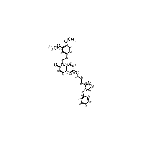 COc1ccc(CCn2c(=O)ccc3cc(OCCCc4nnnn4Cc4ccccc4)ccc32)cc1OC